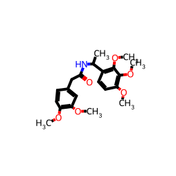 COc1ccc(CC(=O)NC(C)c2ccc(OC)c(OC)c2OC)cc1OC